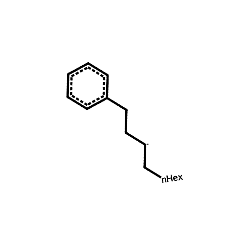 CCCCCCC[CH]CCc1ccccc1